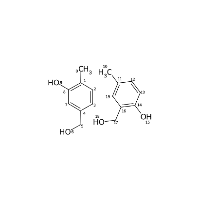 Cc1ccc(CO)cc1O.Cc1ccc(O)c(CO)c1